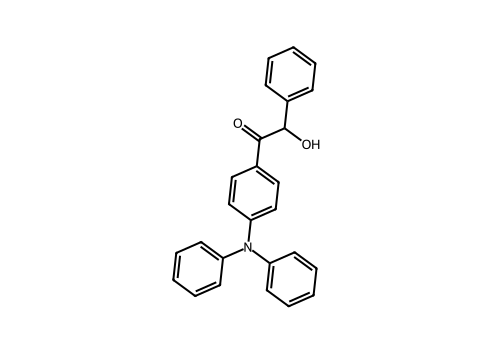 O=C(c1ccc(N(c2ccccc2)c2ccccc2)cc1)C(O)c1ccccc1